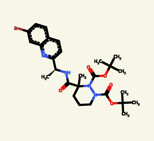 C[C@@H](NC(=O)C1(C)CCCN(C(=O)OC(C)(C)C)N1C(=O)OC(C)(C)C)c1ccc2ccc(Br)cc2n1